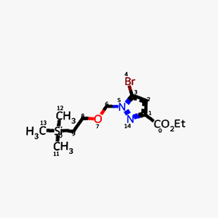 CCOC(=O)c1cc(Br)n(COCC[Si](C)(C)C)n1